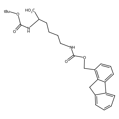 CC(C)(C)OC(=O)NC(CCCCNC(=O)OCc1cccc2c1Cc1ccccc1-2)C(=O)O